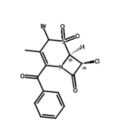 CC1=C(C(=O)c2ccccc2)N2C(=O)[C@H](Cl)[C@@H]2S(=O)(=O)C1Br